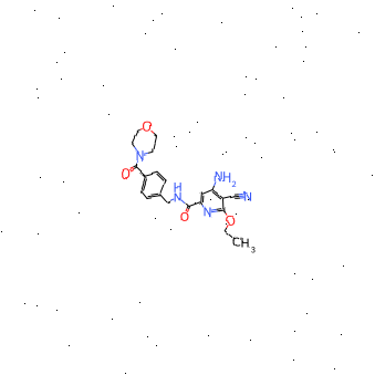 CCOc1nc(C(=O)NCc2ccc(C(=O)N3CCOCC3)cc2)cc(N)c1C#N